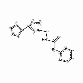 O=C(NCc1nc(-c2cccs2)no1)Nc1ccccc1